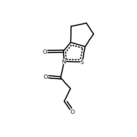 O=CCC(=O)n1sc2c(c1=O)CCC2